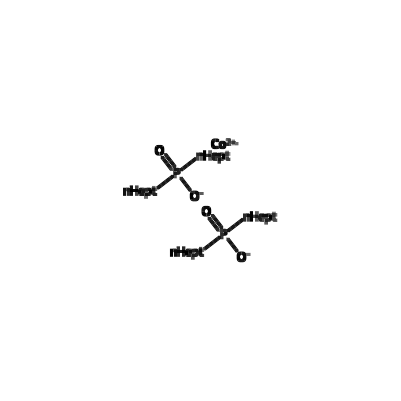 CCCCCCCP(=O)([O-])CCCCCCC.CCCCCCCP(=O)([O-])CCCCCCC.[Co+2]